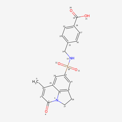 Cc1cc(=O)n2c3c(cc(S(=O)(=O)NCc4ccc(C(=O)O)cc4)cc13)CC2